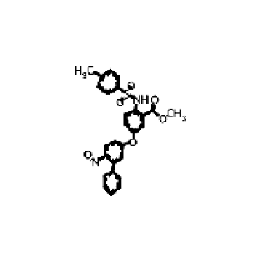 COC(=O)c1cc(Oc2ccc(N=O)c(-c3ccccc3)c2)ccc1NS(=O)(=O)c1ccc(C)cc1